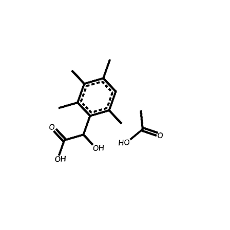 CC(=O)O.Cc1cc(C)c(C(O)C(=O)O)c(C)c1C